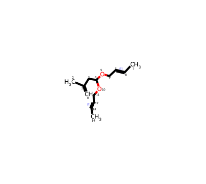 C=C(C)CC(OC/C=C/C)OC/C=C/C